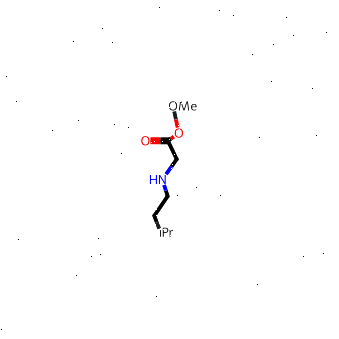 COOC(=O)CNCCC(C)C